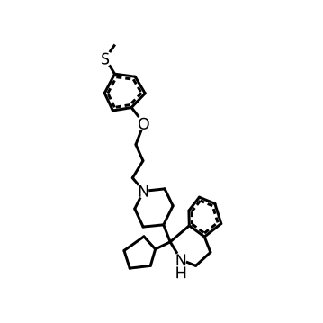 CSc1ccc(OCCCN2CCC(C3(C4CCCC4)NCCc4ccccc43)CC2)cc1